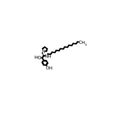 CCCCCCCCCCCCCCCCN[C@H](CN1CCCC1)[C@H](O)c1ccc(O)cc1